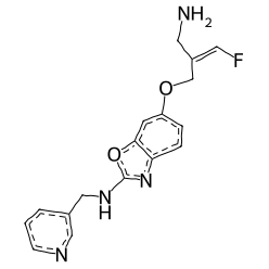 NC/C(=C/F)COc1ccc2nc(NCc3cccnc3)oc2c1